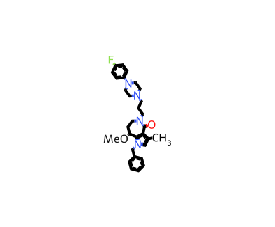 COC1CCN(CCCN2CCN(c3ccc(F)cc3)CC2)C(=O)c2c(C)cn(Cc3ccccc3)c21